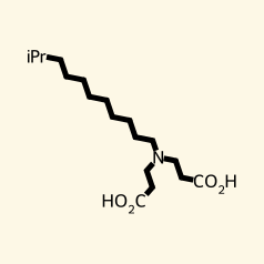 CC(C)CCCCCCCCCN(CCC(=O)O)CCC(=O)O